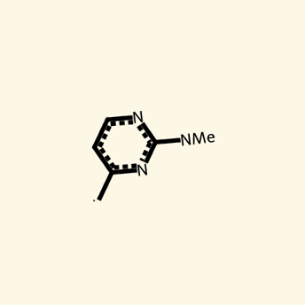 [CH2]c1ccnc(NC)n1